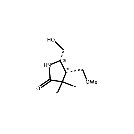 COC[C@H]1[C@@H](CO)NC(=O)C1(F)F